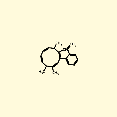 C=Cc1ccccc1C1=C(\C)C(C)/C=C\C=C/C(C)/C(C)=C\1